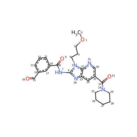 COCCCn1c(NC(=O)c2cccc(C=O)c2)nc2cc(C(=O)N3CCCCC3)cnc21